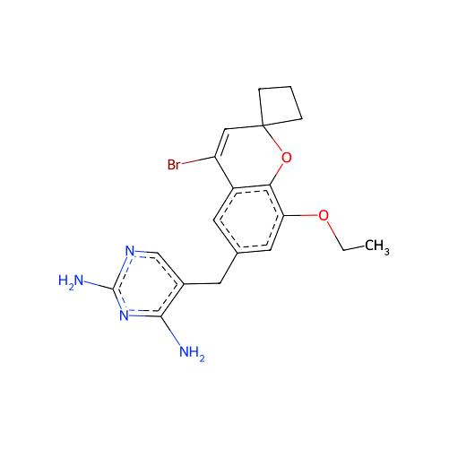 CCOc1cc(Cc2cnc(N)nc2N)cc2c1OC1(C=C2Br)CCC1